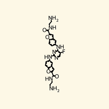 NCCNC(=O)c1cc2cc(Nc3ncc(F)c(Nc4ccc5oc(C(=O)NCCN)cc5c4)n3)ccc2o1